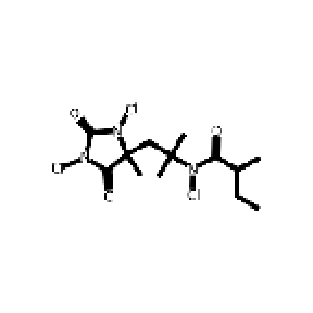 CCC(C)C(=O)N(Cl)C(C)(C)CC1(C)C(=O)N(Cl)C(=O)N1Cl